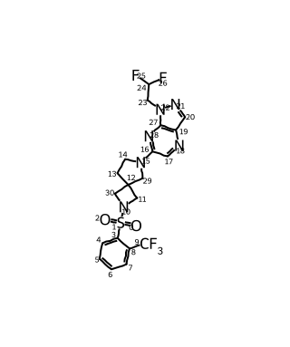 O=S(=O)(c1ccccc1C(F)(F)F)N1CC2(CCN(c3cnc4cnn(CC(F)F)c4n3)C2)C1